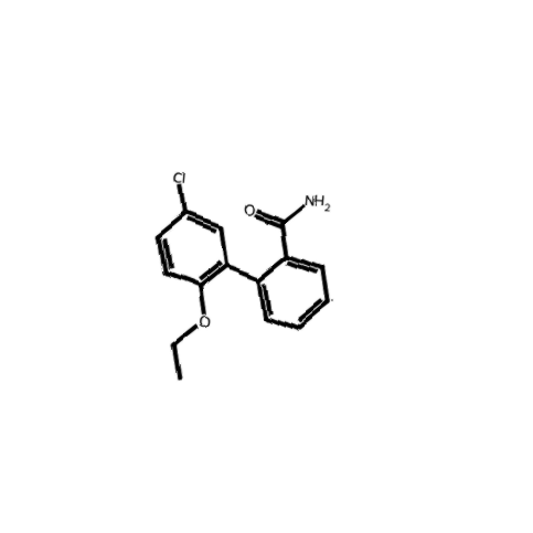 CCOc1ccc(Cl)cc1-c1cc[c]cc1C(N)=O